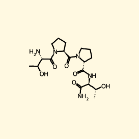 CC(O)[C@H](N)C(=O)N1CCC[C@H]1C(=O)N1CCC[C@@H]1C(=O)N[C@H](C(N)=O)[C@@H](C)O